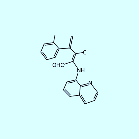 C=C(/C(Cl)=C(\C=O)Nc1cccc2cccnc12)c1ccccc1C